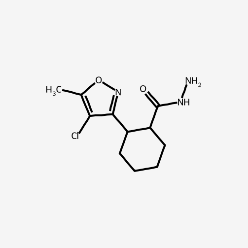 Cc1onc(C2CCCCC2C(=O)NN)c1Cl